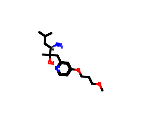 COCCCOc1ccnc(CC(C)(O)[C@@H](N)CC(C)C)c1